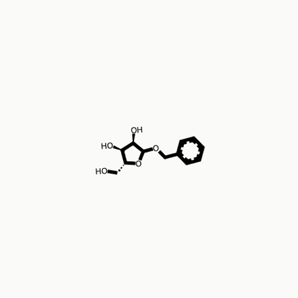 OC[C@H]1OC(OCc2ccccc2)[C@H](O)[C@@H]1O